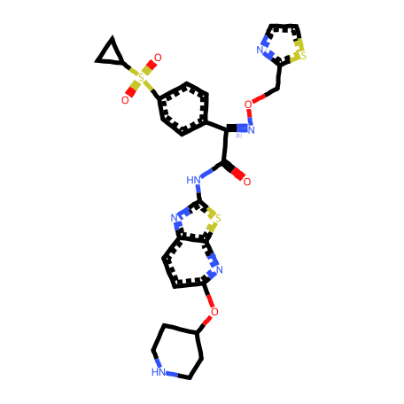 O=C(Nc1nc2ccc(OC3CCNCC3)nc2s1)/C(=N/OCc1nccs1)c1ccc(S(=O)(=O)C2CC2)cc1